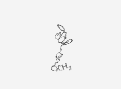 Cc1ccccc1CCN1CCC(CCC(=O)c2cc3c4c(c2)CC(=O)N4CCC3)CC1